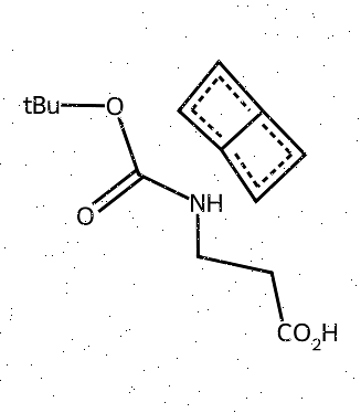 CC(C)(C)OC(=O)NCCC(=O)O.c1cc2ccc1-2